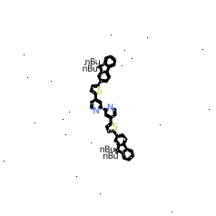 CCCCC1(CCCC)c2ccccc2-c2ccc(-c3ccc(-c4ccnc(-c5cc(-c6ccc(-c7ccc8c(c7)C(CCCC)(CCCC)c7ccccc7-8)s6)ccn5)c4)s3)cc21